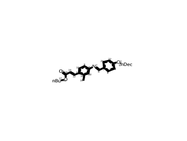 CCCCCCCCCCOc1ccc(C=Nc2ccc(C=CC(=O)OCCCC)c(C)c2)cc1